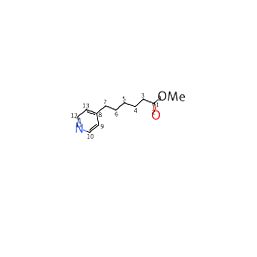 COC(=O)CCCCCc1ccncc1